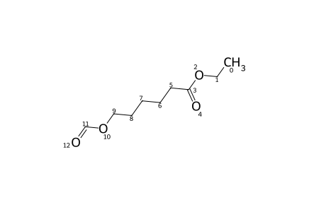 CCOC(=O)CCCCCOC=O